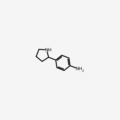 Nc1ccc(C2CCCN2)cc1